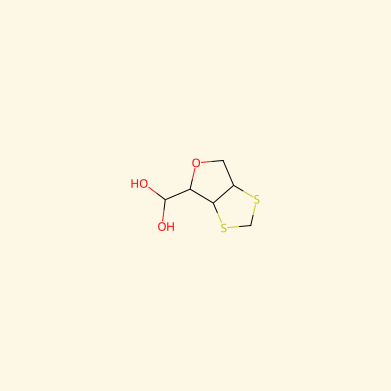 OC(O)C1OCC2SCSC21